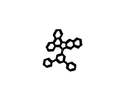 c1ccc(-c2cc(-c3ccccc3)cc(-n3c4cc5ccccc5cc4c4c5ccccc5c5ccccc5c43)c2)cc1